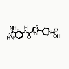 Nc1n[nH]c2ccc(NC(=O)c3csc(C4CCN(C(=O)O)CC4)n3)cc12